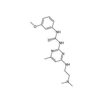 COc1cccc(NC(=O)Nc2nc(C)cc(NCCN(C)C)n2)c1